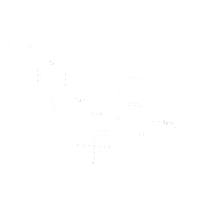 CCS(=O)(=O)c1cc2cc(CC(O)(CC(C)(C)c3cc(C)ccc3C(N)=O)C(F)(F)F)[nH]c2cn1